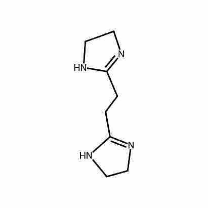 C1CNC(CCC2=NCCN2)=N1